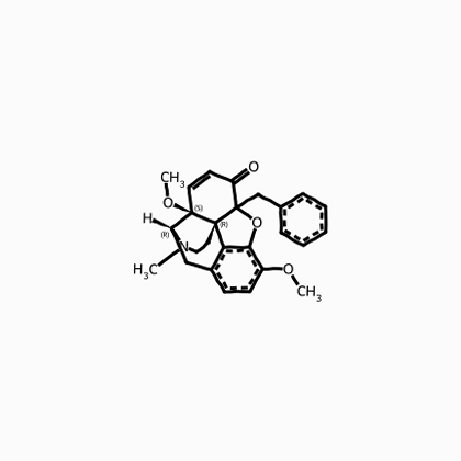 COc1ccc2c3c1OC1(Cc4ccccc4)C(=O)C=C[C@@]4(OC)[C@@H](C2)N(C)CC[C@]314